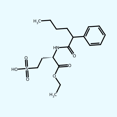 CCCCC(C(=O)N[C@@H](CCS(=O)(=O)O)C(=O)OCC)c1ccccc1